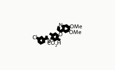 COc1cc2nccc(Oc3cc(C)c(N(C(=O)O)C(C)c4cccc(Cl)c4)cc3C)c2cc1OC